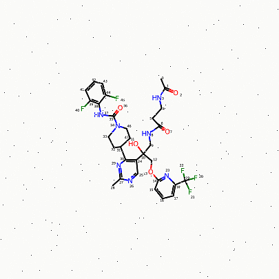 CC(=O)NCCC(=O)NCC(O)(COc1cccc(C(F)(F)F)n1)c1cnc(C)nc1C1CCN(C(=O)Nc2c(F)cccc2F)CC1